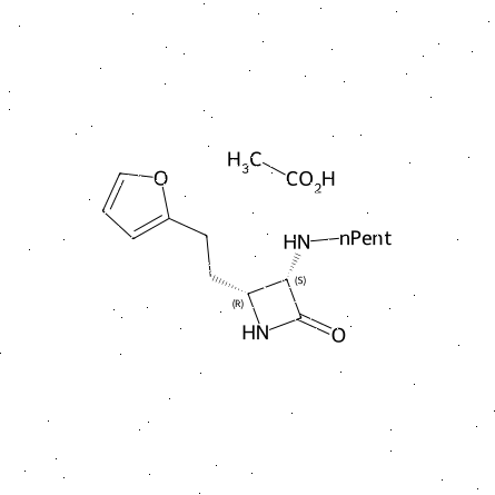 CC(=O)O.CCCCCN[C@@H]1C(=O)N[C@@H]1CCc1ccco1